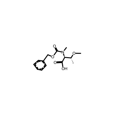 CO[C@H](C)[C@@H](C(=O)O)N(C)C(=O)OCc1ccccc1